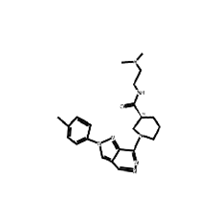 Cc1ccc(-n2cc3cnnc(N4CCC[C@H](C(=O)NCCN(C)C)C4)c3n2)cc1